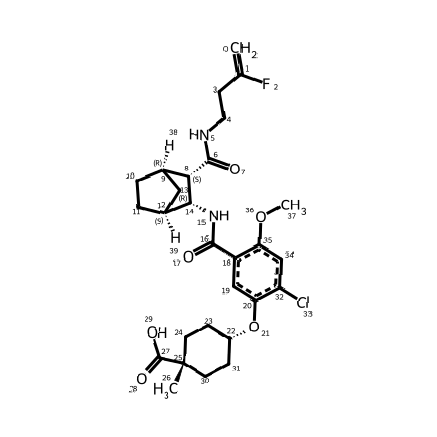 C=C(F)CCNC(=O)[C@H]1[C@@H]2CC[C@@H](C2)[C@H]1NC(=O)c1cc(O[C@H]2CC[C@@](C)(C(=O)O)CC2)c(Cl)cc1OC